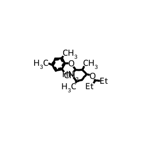 CCC(CC)OC1CC(C)NC(Oc2c(C)cc(C)cc2C)C1C